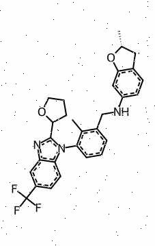 Cc1c(CNc2ccc3c(c2)O[C@H](C)[CH]3)cccc1-n1c(C2CCCO2)nc2cc(C(F)(F)F)ccc21